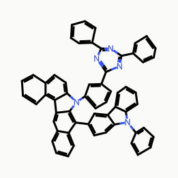 c1ccc(-c2nc(-c3ccccc3)nc(-c3cccc(-n4c5ccc6ccccc6c5c5cc6ccccc6c(-c6ccc7c(c6)c6ccccc6n7-c6ccccc6)c54)c3)n2)cc1